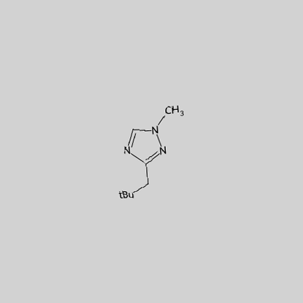 Cn1cnc(CC(C)(C)C)n1